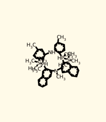 Cc1ccc2c(c1)Nc1cc(C)ccc1[PH](C)([Si](C)(C)C)c1cc3ccccc3cc1N(C)c1cc3ccccc3cc1[PH]2(C)[Si](C)(C)C